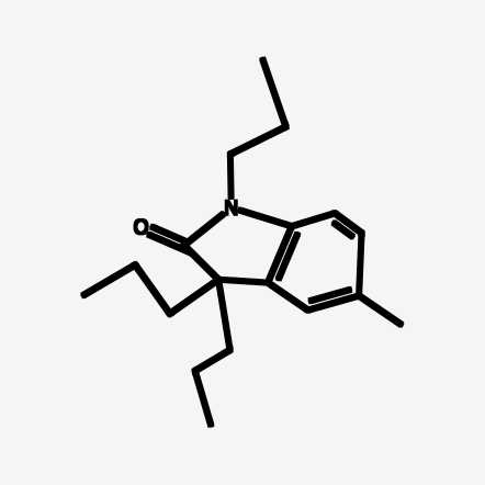 CCCN1C(=O)C(CCC)(CCC)c2cc(C)ccc21